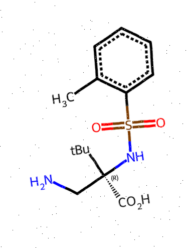 Cc1ccccc1S(=O)(=O)N[C@](CN)(C(=O)O)C(C)(C)C